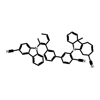 C/C=C\C(=C(/C)n1c2ccccc2c2cc(C#N)ccc21)c1cccc(-c2ccc(C#N)c(N3C4=C(CC=CC(C#N)C4)C4(C)C=CC=CC34)c2)c1